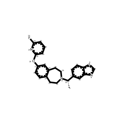 C[C@@H](c1ccc2scnc2c1)N1CCc2ccc(Oc3cccc(F)n3)cc2CC1